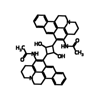 CC(=O)Nc1c2c3c4c(c5ccccc5cc4c1C1C(O)C(c4c(NC(C)=O)c5c6c7c(c8ccccc8cc47)CCN6CCC5)C1O)CCN3CCC2